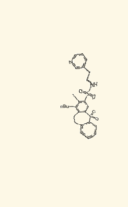 CCCCc1c(C)c(S(=O)(=O)NCCc2cccnc2)cc2c1CCc1ccccc1S2(=O)=O